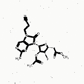 COC(=O)C[C@H]1O[C@@H](n2c(=O)n(CCC#N)c3cnc(N)nc32)[C@H](OC(C)=O)[C@@H]1F